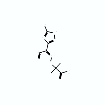 CC(C)(ON=C([C]=O)c1nsc(N)n1)C(=O)O